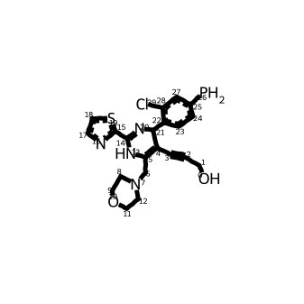 OCC#CC1=C(CN2CCOCC2)NC(c2nccs2)=NC1c1ccc(P)cc1Cl